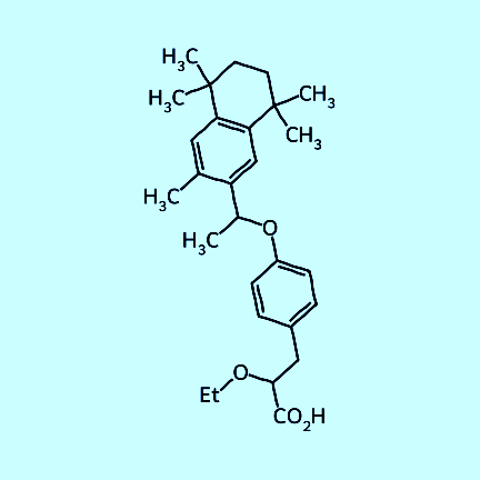 CCOC(Cc1ccc(OC(C)c2cc3c(cc2C)C(C)(C)CCC3(C)C)cc1)C(=O)O